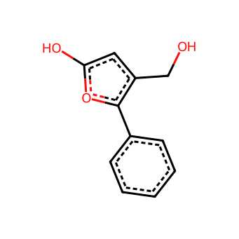 OCc1cc(O)oc1-c1ccccc1